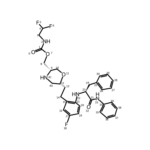 O=C(NCC(F)F)OC[C@@H]1CO[C@H](CCc2cc(F)ccc2N[C@@H](Cc2ccccc2)C(=O)Nc2ccccc2)CN1